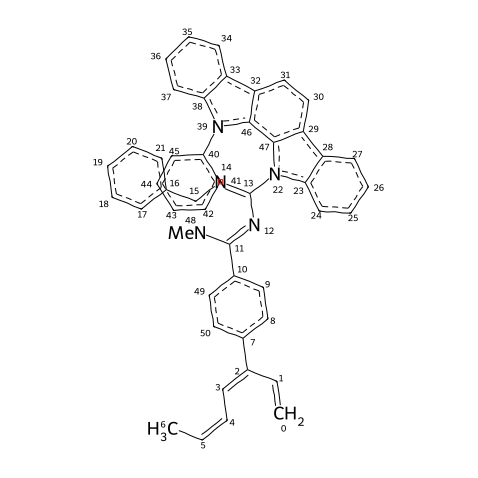 C=C/C(=C\C=C/C)c1ccc(/C(=N/C(=N\Cc2ccccc2)n2c3ccccc3c3ccc4c5ccccc5n(-c5ccccc5)c4c32)NC)cc1